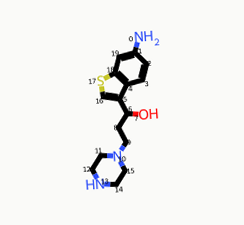 Nc1ccc2c(C(O)CCN3CCNCC3)csc2c1